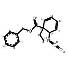 CCC1(C(=O)OCc2ccccc2)C=CC=CC1N=C=O